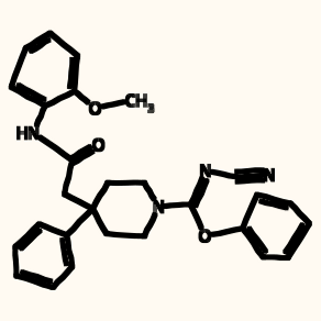 COc1ccccc1NC(=O)CC1(c2ccccc2)CCN(/C(=N/C#N)Oc2ccccc2)CC1